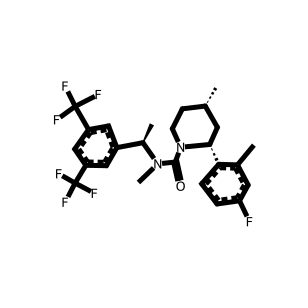 Cc1cc(F)ccc1[C@H]1C[C@@H](C)CCN1C(=O)N(C)[C@H](C)c1cc(C(F)(F)F)cc(C(F)(F)F)c1